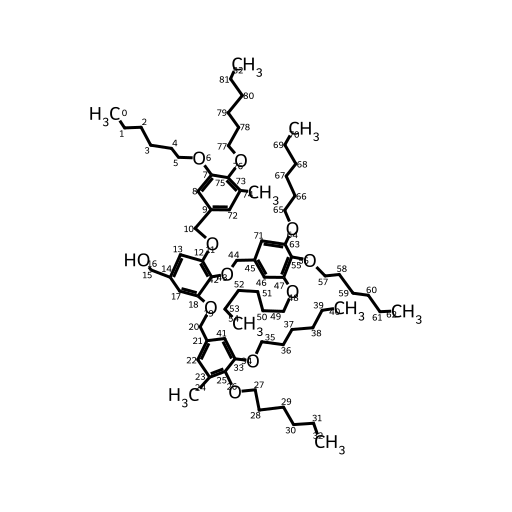 CCCCCCOc1cc(COc2cc(CO)cc(OCc3cc(C)c(OCCCCCC)c(OCCCCCC)c3)c2OCc2cc(OCCCCCC)c(OCCCCCC)c(OCCCCCC)c2)cc(C)c1OCCCCCC